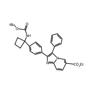 CCOC(=O)c1ccc2nc(-c3ccc(C4(NC(=O)OC(C)(C)C)CCC4)cc3)c(-c3ccccc3)n2c1